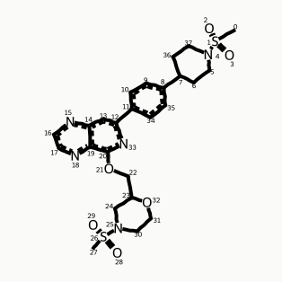 CS(=O)(=O)N1CCC(c2ccc(-c3cc4nccnc4c(OCC4CN(S(C)(=O)=O)CCO4)n3)cc2)CC1